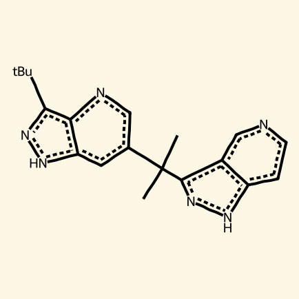 CC(C)(C)c1n[nH]c2cc(C(C)(C)c3n[nH]c4ccncc34)cnc12